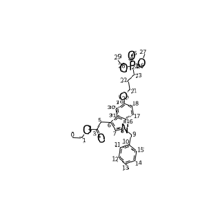 CCOC(=O)Cc1cn(Cc2ccccc2)c2ccc(OCCCP(=O)(OC)OC)cc12